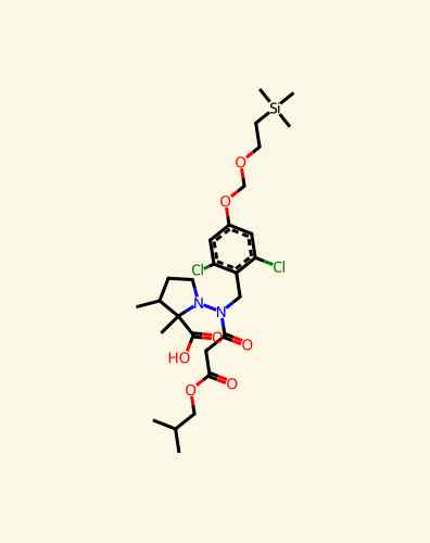 CC(C)COC(=O)CC(=O)N(Cc1c(Cl)cc(OCOCC[Si](C)(C)C)cc1Cl)N1CCC(C)C1(C)C(=O)O